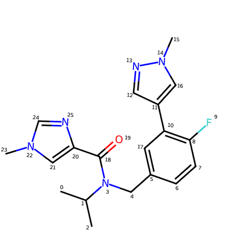 CC(C)N(Cc1ccc(F)c(-c2cnn(C)c2)c1)C(=O)c1cn(C)cn1